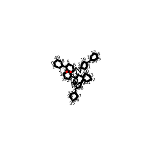 c1ccc(-c2ccc(N(c3ccc(-c4ccccc4)cc3)c3c(-c4ccccc4)n4nc(-c5ccccc5)cc4c4ccccc34)cc2)cc1